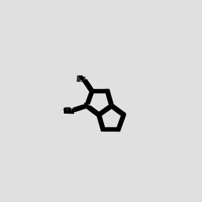 CC(C)C1CC2CCCC2N1C(C)(C)C